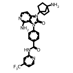 Nc1nccc2c1n(-c1ccc(C(=O)Nc3cc(C(F)(F)F)ccn3)cc1)c(=O)n2C12CCC(N)(CC1)C2